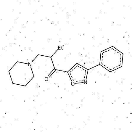 CCC(CN1CCCCC1)C(=O)c1cc(-c2ccccc2)no1